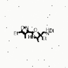 CCNCC(C)(CC)C(C)NC(=O)c1noc(CC)c1C